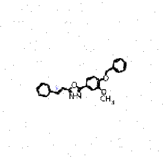 COc1cc(-c2nnc(/C=C/c3ccccc3)o2)ccc1OCc1ccccc1